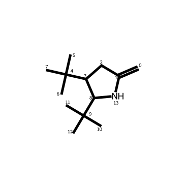 C=C1CC(C(C)(C)C)C(C(C)(C)C)N1